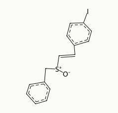 [O-][S+](C=Cc1ccc(I)cc1)Cc1ccccc1